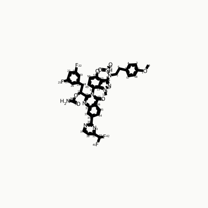 COc1ccc(CCN(c2nn(C)c3c(-n4c(C(Cc5cc(F)cc(F)c5)OC(N)=O)nc5cc(-c6nccc(C(F)F)n6)ccc5c4=O)ccc(Cl)c23)[SH](=O)=O)cc1